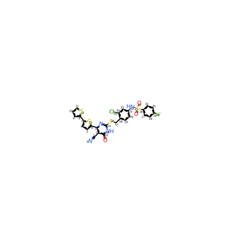 N#Cc1c(-c2ccc(-c3cccs3)s2)nc(SCc2ccc(NS(=O)(=O)c3ccc(F)cc3)cc2Cl)[nH]c1=O